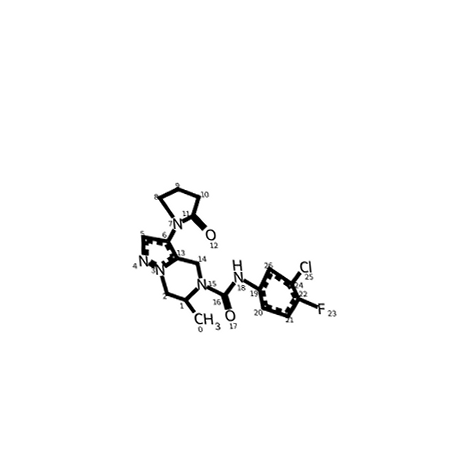 CC1Cn2ncc(N3CCCC3=O)c2CN1C(=O)Nc1ccc(F)c(Cl)c1